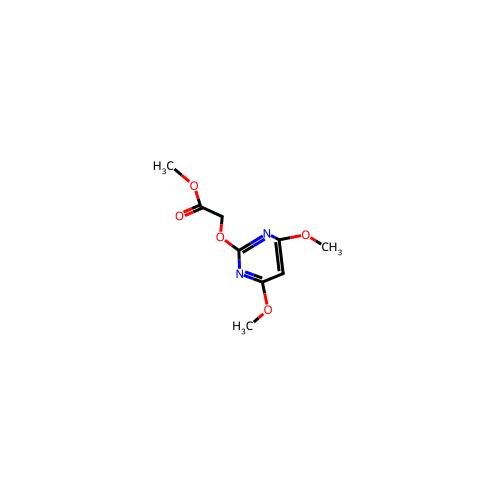 COC(=O)COc1nc(OC)cc(OC)n1